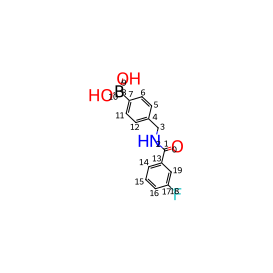 O=C(NCc1ccc(B(O)O)cc1)c1cccc(F)c1